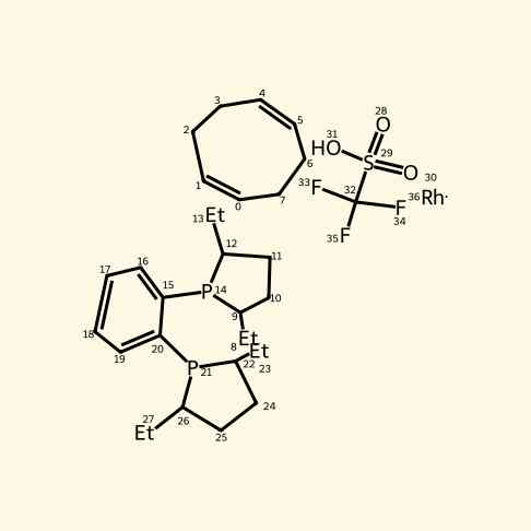 C1=CCCC=CCC1.CCC1CCC(CC)P1c1ccccc1P1C(CC)CCC1CC.O=S(=O)(O)C(F)(F)F.[Rh]